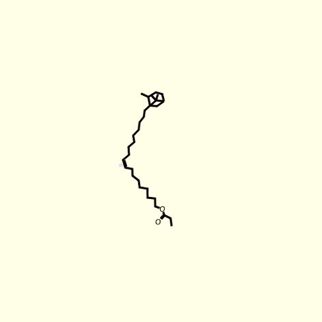 CCC(=O)OCCCCCCCC/C=C\CCCCCCCCC12CC(CCC1C)C2(C)C